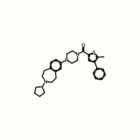 Cc1sc(C(=O)N2CCN(c3ccc4c(c3)CCN(C3CCCC3)CC4)CC2)cc1-c1ccccc1